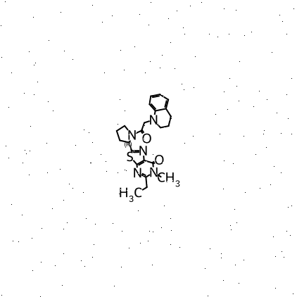 CCc1nc2sc([C@H]3CCCN3C(=O)CN3CCCc4ccccc43)nc2c(=O)n1C